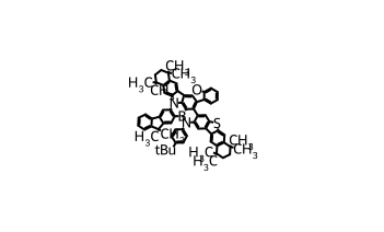 CC(C)(C)c1ccc(N2B3c4cc5c(cc4-n4c6cc7c(cc6c6c8oc9ccccc9c8c(c3c64)-c3cc4sc6cc8c(cc6c4cc32)C(C)(C)CCC8(C)C)C(C)(C)CCC7(C)C)-c2ccccc2C5(C)C)cc1